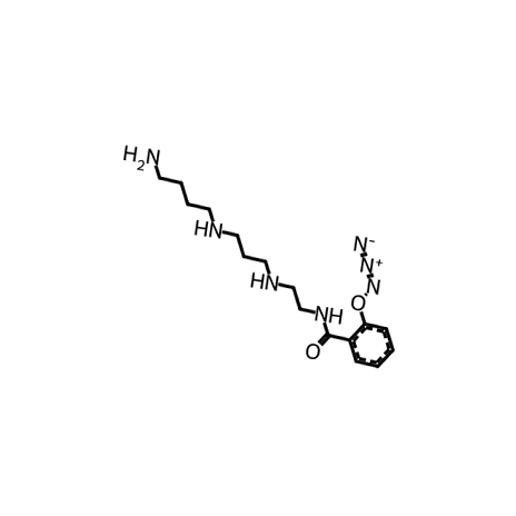 [N-]=[N+]=NOc1ccccc1C(=O)NCCNCCCNCCCCN